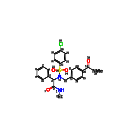 CCNC(=O)C(c1ccccc1)N(Cc1ccc(C(=O)NC)cc1)S(=O)(=O)c1ccc(Cl)cc1